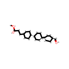 COC(=O)CCC1CCC([C@H]2CC[C@H]([C@H]3CC[C@H](C=O)CC3)CC2)CC1